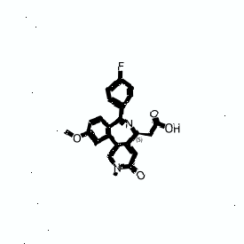 COc1ccc2c(c1)-c1cn(C)c(=O)cc1[C@H](CC(=O)O)N=C2c1ccc(F)cc1